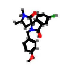 COc1ccc(CN2C(=O)c3cc(F)ccc3[C@]23C[C@@H](C)N(C)C3=O)cc1